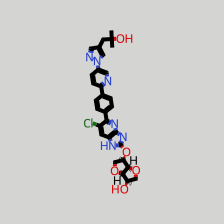 CC(C)(O)Cc1cnn(-c2ccc(-c3ccc(-c4nc5nc(O[C@@H]6CO[C@H]7[C@@H]6OC[C@H]7O)[nH]c5cc4Cl)cc3)nc2)c1